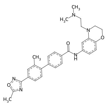 Cc1nc(-c2ccc(-c3ccc(C(=O)Nc4ccc5c(c4)N(CCN(C)C)CCO5)cc3)c(C)c2)no1